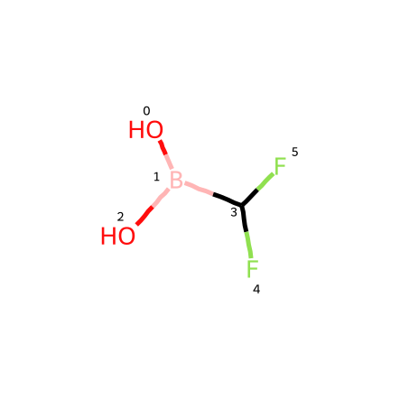 OB(O)C(F)F